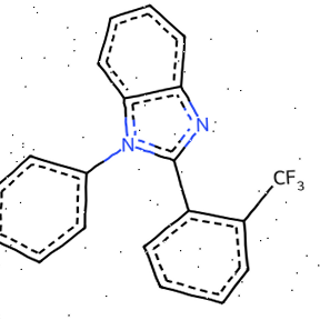 FC(F)(F)c1ccccc1-c1nc2ccccc2n1-c1ccccc1